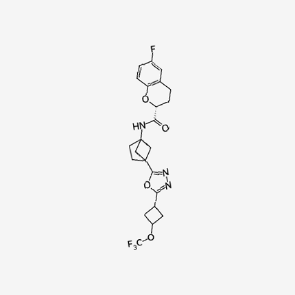 O=C(NC12CCC(c3nnc(C4CC(OC(F)(F)F)C4)o3)(C1)C2)[C@H]1CCc2cc(F)ccc2O1